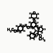 COC(=O)C1(Cc2ccccc2)CCCN1c1cc(N2CCOCC2)cc(OCc2ccc(OC)cc2)n1